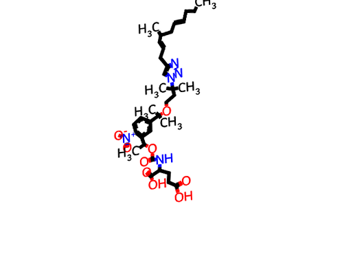 CCC/C=C/CC(C)/C=C/Cc1cn(C(C)(C)CCOC(C)(C)c2ccc([N+](=O)[O-])c(C(C)OC(=O)NC(CCC(=O)O)C(=O)O)c2)nn1